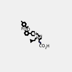 Cc1ccc(C2(C)Oc3cccc(C4CCN(Cc5ncc(/C=C/C(=O)O)n5CCC5CC5)CC4)c3O2)c(F)c1